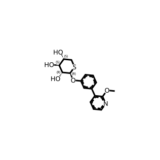 COc1ncccc1-c1cccc(O[C@@H]2SC[C@@H](O)[C@H](O)[C@H]2O)c1